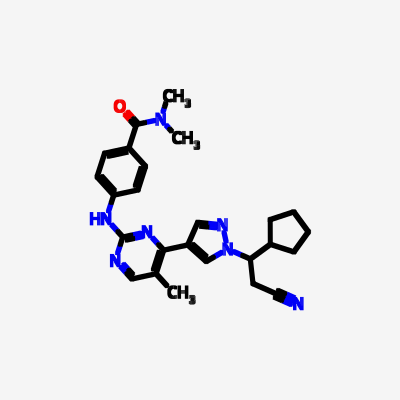 Cc1cnc(Nc2ccc(C(=O)N(C)C)cc2)nc1-c1cnn(C(CC#N)C2CCCC2)c1